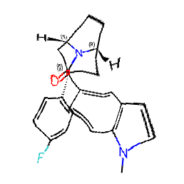 Cn1ccc2cc(C(=O)N3[C@@H]4CC[C@H]3C[C@@H](c3ccc(F)cc3)C4)ccc21